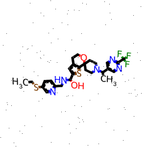 CCSc1ccc(CNC(O)c2cc3c(s2)C2(CCN(C(C)c4cnc(C(F)(F)F)nc4)CC2)OCC3)nc1